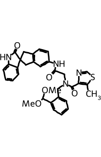 COC(OC)c1ccccc1CN(CC(=O)Nc1ccc2c(c1)CC1(C2)C(=O)Nc2ccccc21)C(=O)c1ncsc1C